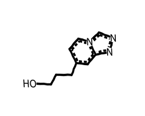 OCCCc1ccn2cnnc2c1